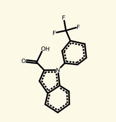 O=C(O)c1cc2ccccc2n1-c1cccc(C(F)(F)F)c1